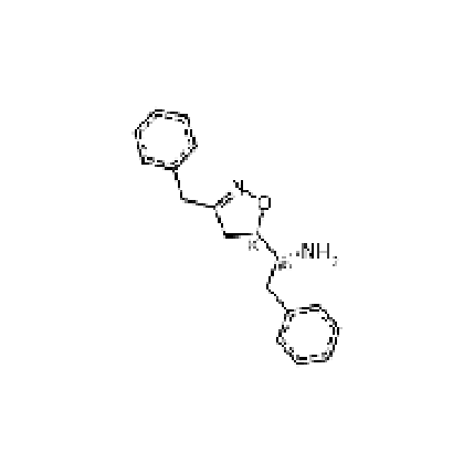 N[C@H](Cc1ccccc1)[C@H]1CC(Cc2ccccc2)=NO1